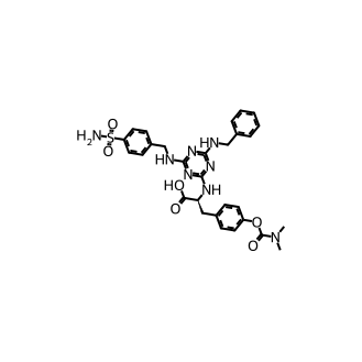 CN(C)C(=O)Oc1ccc(C[C@H](Nc2nc(NCc3ccccc3)nc(NCc3ccc(S(N)(=O)=O)cc3)n2)C(=O)O)cc1